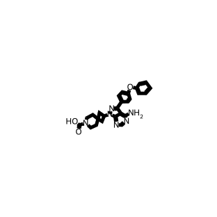 Nc1ncnc2c1c(-c1ccc(Oc3ccccc3)cc1)nn2C1CC2(CCN(C(=O)O)CC2)C1